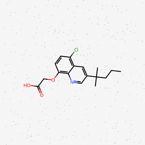 CCCC(C)(C)c1cnc2c(OCC(=O)O)ccc(Cl)c2c1